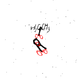 C=C(C)C(=O)Oc1cc2oc1c1c2C(=O)OC1